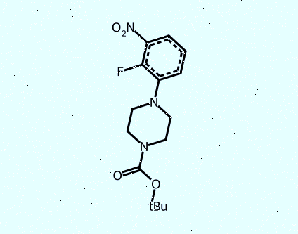 CC(C)(C)OC(=O)N1CCN(c2cccc([N+](=O)[O-])c2F)CC1